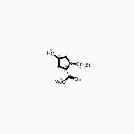 CCOC(=O)N1CC(O)C[C@H]1C(=O)OC